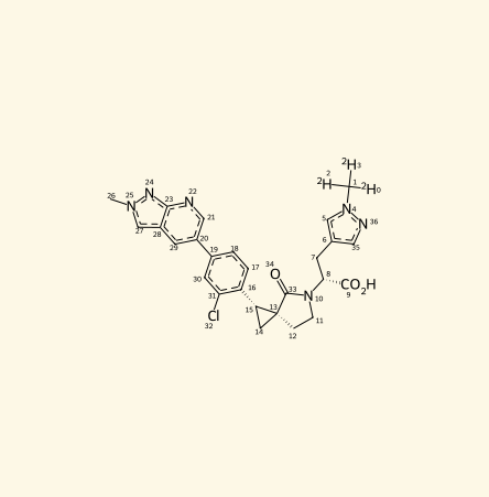 [2H]C([2H])([2H])n1cc(C[C@H](C(=O)O)N2CC[C@@]3(C[C@@H]3c3ccc(-c4cnc5nn(C)cc5c4)cc3Cl)C2=O)cn1